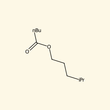 [CH2]CCCC(=O)OCCCC(C)C